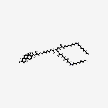 CCCCCCCC/C=C\CCCCCCCC(=O)OCC(COC(=O)CCCCCCC/C=C\CCCCCCCC)OC(=O)CCCCCCCCC(=O)O[C@H]1CCC2[C@@H]3CCC4=CC(=O)CC[C@]4(C)C3CC[C@@]21C